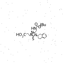 CC(C)(C)OC(=O)NCc1nn(CCC(=O)O)c(=S)n1C1CCc2ccccc2C1